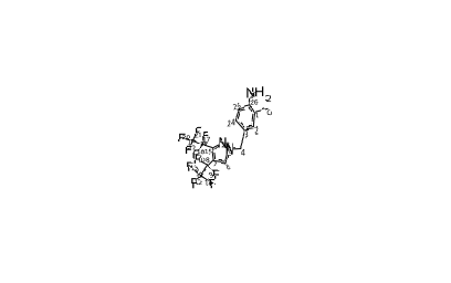 Cc1cc(Cn2cc(C(F)(F)C(F)(F)F)c(C(F)(F)C(F)(F)F)n2)ccc1N